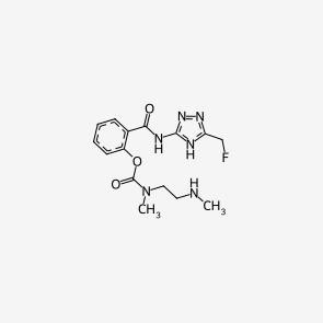 CNCCN(C)C(=O)Oc1ccccc1C(=O)Nc1nnc(CF)[nH]1